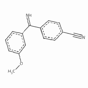 COc1cccc(C(=N)c2ccc(C#N)cc2)c1